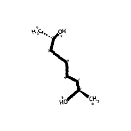 C[C@H](O)CCCC[C@@H](C)O